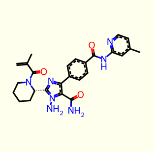 C=C(C)C(=O)N1CCCC[C@H]1c1nc(-c2ccc(C(=O)Nc3cc(C)ccn3)cc2)c(C(N)=O)n1N